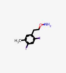 Cc1cc(CCON)c(I)cc1I